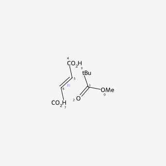 COC(=O)C(C)(C)C.O=C(O)/C=C/C(=O)O